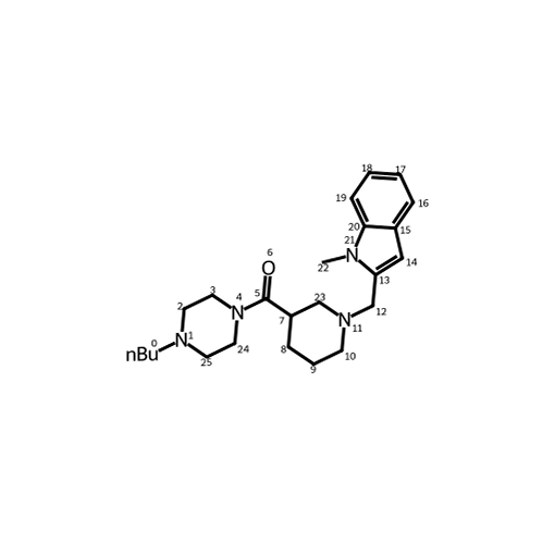 CCCCN1CCN(C(=O)C2CCCN(Cc3cc4ccccc4n3C)C2)CC1